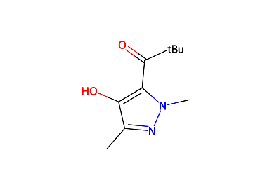 Cc1nn(C)c(C(=O)C(C)(C)C)c1O